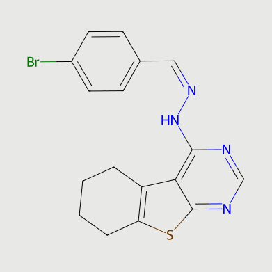 Brc1ccc(/C=N\Nc2ncnc3sc4c(c23)CCCC4)cc1